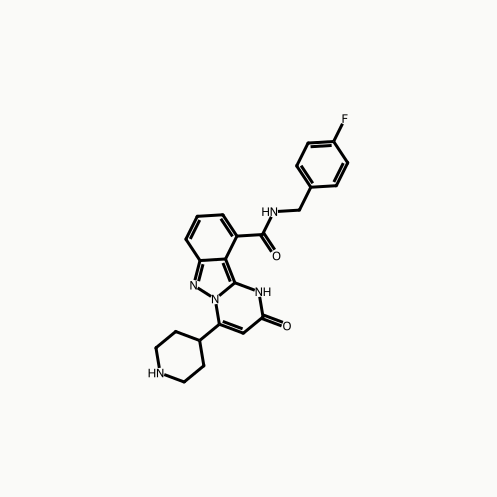 O=C(NCc1ccc(F)cc1)c1cccc2nn3c(C4CCNCC4)cc(=O)[nH]c3c12